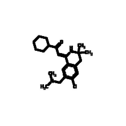 CN(C)Cc1cc2c(cc1Cl)CC(C)(C)NC2=CC(=O)C1CCCCC1